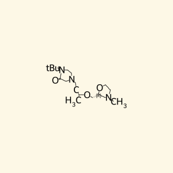 CC(CCN1CCN(C(C)(C)C)C(=O)C1)OC[C@H]1CN(C)CCO1